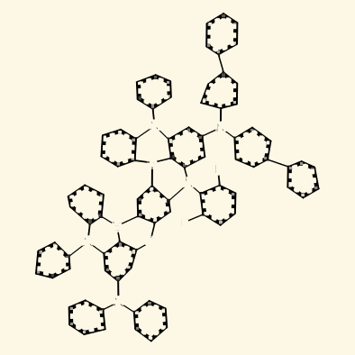 Fc1cccc(F)c1N1c2cc3c(cc2B2c4ccccc4N(c4ccccc4)c4cc(N(c5ccc(-c6ccccc6)cc5)c5ccc(-c6ccccc6)cc5)cc1c42)B1c2ccccc2N(c2ccccc2)c2cc(N(c4ccccc4)c4ccccc4)cc(c21)S3